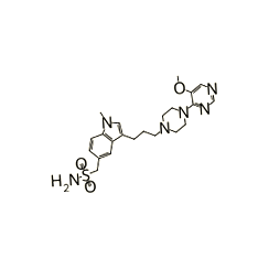 COc1cncnc1N1CCN(CCCc2cn(C)c3ccc(CS(N)(=O)=O)cc23)CC1